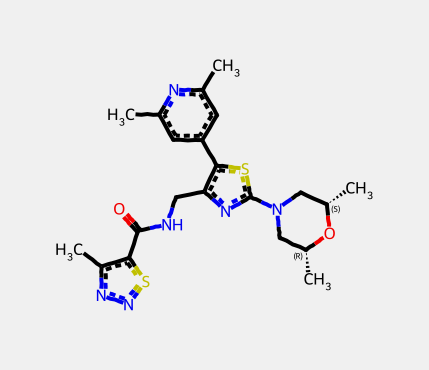 Cc1cc(-c2sc(N3C[C@@H](C)O[C@@H](C)C3)nc2CNC(=O)c2snnc2C)cc(C)n1